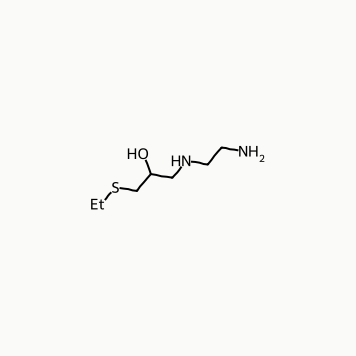 CCSCC(O)CNCCN